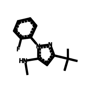 CNc1cc(C(C)(C)C)nn1-c1ccccc1F